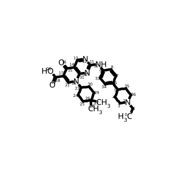 CCN1CCC(c2ccc(Nc3ncc4c(=O)c(C(=O)O)cn(C5CCC(C)(C)CC5)c4n3)cc2)CC1